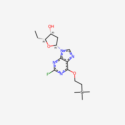 CC[C@H]1O[C@@H](n2cnc3c(OCC[Si](C)(C)C)nc(F)nc32)C[C@H]1O